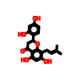 CC(C)=CCc1c(O)cc(O)c2c1OC(c1ccc(O)cc1O)CC2=O